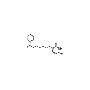 C=C(CCCCCCn1ccc(=O)[nH]c1=O)c1ccccc1